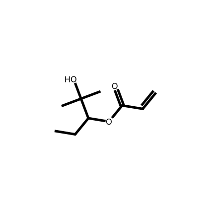 C=CC(=O)OC(CC)C(C)(C)O